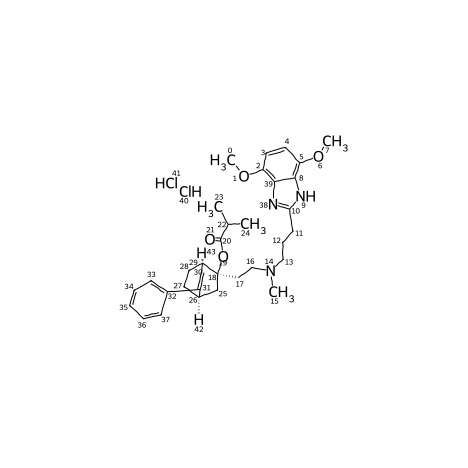 COc1ccc(OC)c2[nH]c(CCCN(C)CC[C@]3(OC(=O)C(C)C)C[C@H]4CC[C@@H]3C=C4c3ccccc3)nc12.Cl.Cl